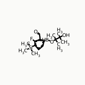 CC(C)(O)C(C)(C)OBc1ccc([Si](C)(C)C)c(F)c1C=O